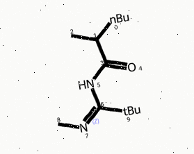 CCCCC(C)C(=O)N/C(=N\C)C(C)(C)C